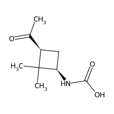 CC(=O)[C@H]1C[C@@H](NC(=O)O)C1(C)C